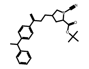 C=C(CCC1CB(C#N)C(C(=O)OC(C)(C)C)C1)c1ccc(C(C)c2ccccc2)cc1